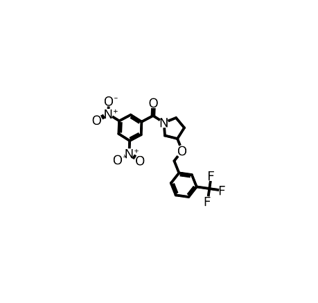 O=C(c1cc([N+](=O)[O-])cc([N+](=O)[O-])c1)N1CCC(OCc2cccc(C(F)(F)F)c2)C1